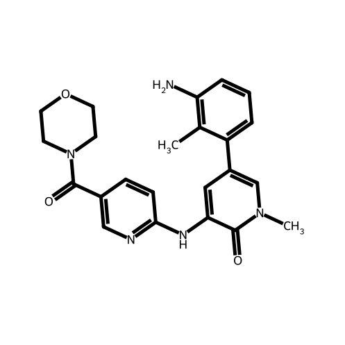 Cc1c(N)cccc1-c1cc(Nc2ccc(C(=O)N3CCOCC3)cn2)c(=O)n(C)c1